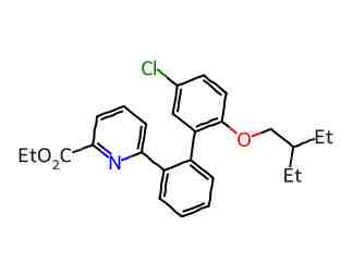 CCOC(=O)c1cccc(-c2ccccc2-c2cc(Cl)ccc2OCC(CC)CC)n1